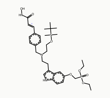 CCOP(=O)(COc1ccc2[nH]cc(CCN(CCO[Si](C)(C)C(C)(C)C)Cc3ccc(/C=C/C(=O)NO)cc3)c2c1)OCC